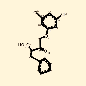 O=C(O)C(Cc1ccccc1)C(=O)COc1cc(Cl)cc(Cl)c1